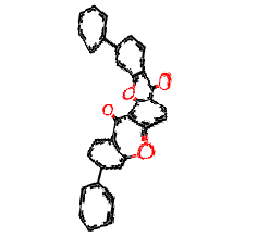 O=c1c2ccc(-c3ccccc3)cc2oc2c1ccc1oc3cc(-c4ccccc4)ccc3c(=O)c12